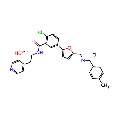 Cc1ccc([C@@H](C)NCc2ccc(-c3ccc(Cl)c(C(=O)N[C@@H](CO)Cc4ccncc4)c3)o2)cc1